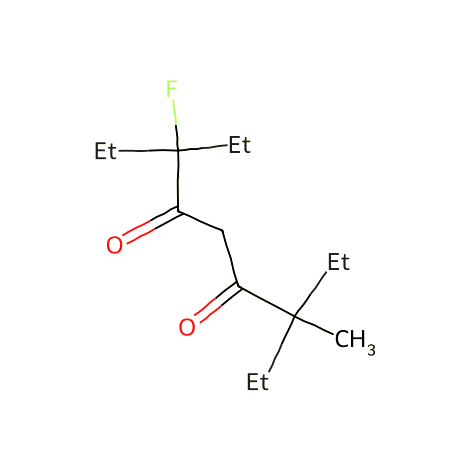 CCC(C)(CC)C(=O)CC(=O)C(F)(CC)CC